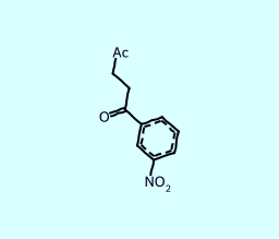 CC(=O)CCC(=O)c1cccc([N+](=O)[O-])c1